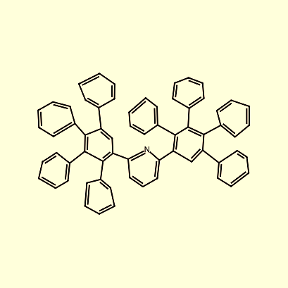 c1ccc(-c2cc(-c3cccc(-c4cc(-c5ccccc5)c(-c5ccccc5)c(-c5ccccc5)c4-c4ccccc4)n3)c(-c3ccccc3)c(-c3ccccc3)c2-c2ccccc2)cc1